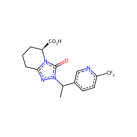 CC(c1ccc(C(F)(F)F)nc1)n1nc2n(c1=O)[C@H](C(=O)O)CCC2